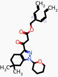 C=C/C=C\C(=C/C=C)COC(=O)CC(=O)c1nn(C2CCCCO2)c2c1CCC(C)(C)C2